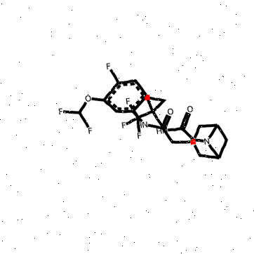 O=C(CN1CC2CC(C1)N2CC(=O)NC1(C(F)(F)F)CC1)Nc1ccc(F)c(OC(F)F)c1